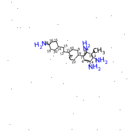 Cc1c(N)c(N)cc(C2CCC(CCC3CCC(N)CC3)CC2)c1N